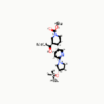 COC(=O)[C@H]1CN(C(=O)OC(C)(C)C)CC[C@@H]1c1ccc(N2CC[C@H](O[Si](C)(C)C(C)(C)C)C2)nc1